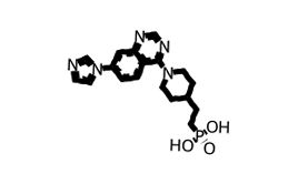 O=P(O)(O)CCC1CCN(c2ncnc3cc(-n4ccnc4)ccc23)CC1